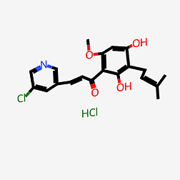 COc1cc(O)c(CC=C(C)C)c(O)c1C(=O)C=Cc1cncc(Cl)c1.Cl